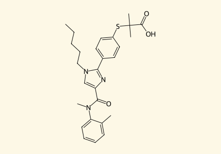 CCCCCn1cc(C(=O)N(C)c2ccccc2C)nc1-c1ccc(SC(C)(C)C(=O)O)cc1